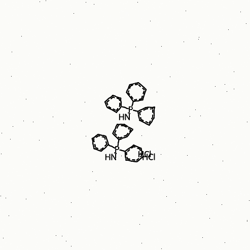 Cl.Cl.N=P(c1ccccc1)(c1ccccc1)c1ccccc1.N=P(c1ccccc1)(c1ccccc1)c1ccccc1